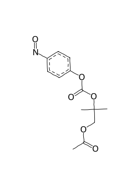 CC(=O)OCC(C)(C)OC(=O)Oc1ccc(N=O)cc1